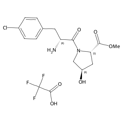 COC(=O)[C@@H]1C[C@@H](O)CN1C(=O)[C@H](N)Cc1ccc(Cl)cc1.O=C(O)C(F)(F)F